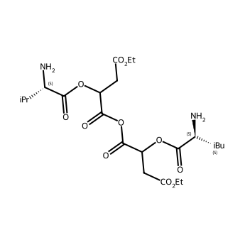 CCOC(=O)CC(OC(=O)[C@@H](N)C(C)C)C(=O)OC(=O)C(CC(=O)OCC)OC(=O)[C@@H](N)[C@@H](C)CC